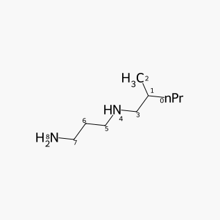 CCCC(C)CNCCCN